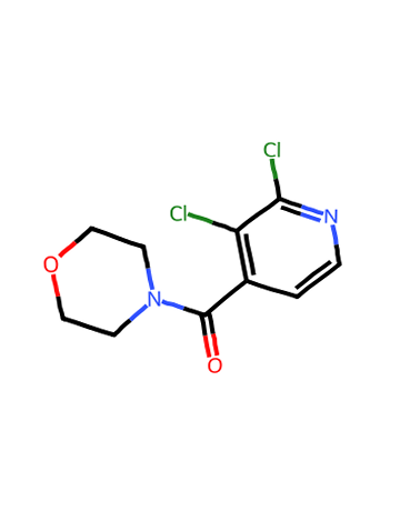 O=C(c1ccnc(Cl)c1Cl)N1CCOCC1